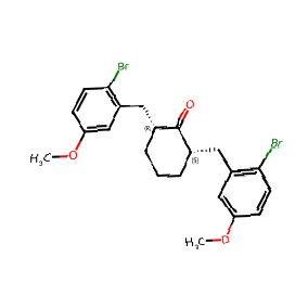 COc1ccc(Br)c(C[C@H]2CCC[C@@H](Cc3cc(OC)ccc3Br)C2=O)c1